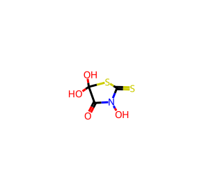 O=C1N(O)C(=S)SC1(O)O